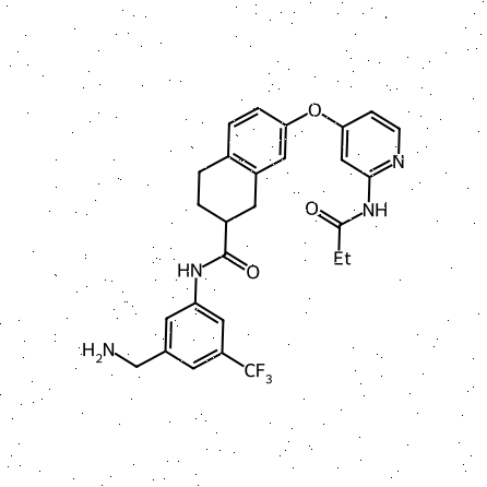 CCC(=O)Nc1cc(Oc2ccc3c(c2)CC(C(=O)Nc2cc(CN)cc(C(F)(F)F)c2)CC3)ccn1